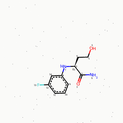 NC(=O)[C@H](CCO)Nc1cccc(F)c1